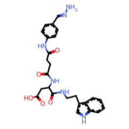 NN=Cc1ccc(NC(=O)CCC(=O)NC(CC(=O)O)C(=O)NCCc2c[nH]c3ccccc23)cc1